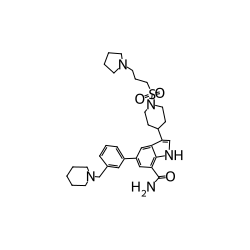 NC(=O)c1cc(-c2cccc(CN3CCCCC3)c2)cc2c(C3CCN(S(=O)(=O)CCCN4CCCC4)CC3)c[nH]c12